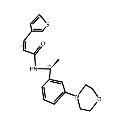 C[C@H](NC(=O)/C=C\c1ccsc1)c1cccc(N2CCOCC2)c1